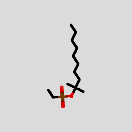 CCCCCCCC[Si](C)(C)OS(=O)(=O)CC